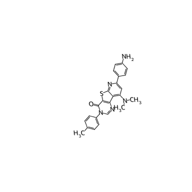 Cc1ccc(-n2cnc3c(sc4nc(-c5ccc(N)cc5)cc(N(C)C)c43)c2=O)cc1